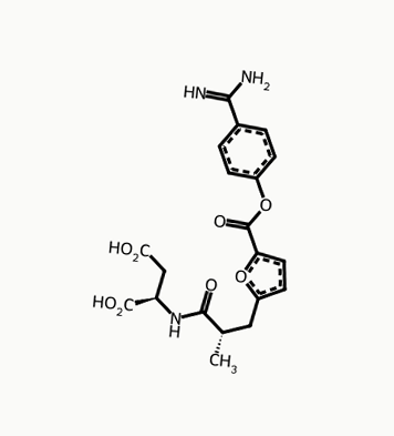 C[C@@H](Cc1ccc(C(=O)Oc2ccc(C(=N)N)cc2)o1)C(=O)N[C@H](CC(=O)O)C(=O)O